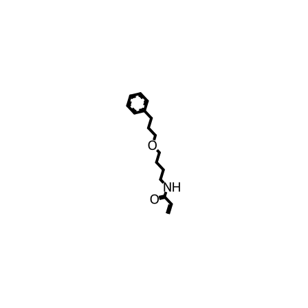 C=CC(=O)NCCCCOCCCc1ccccc1